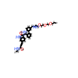 CCCOCCOCCOCCNCc1ccc(N/C(=C2\C(=O)Nc3cc(C#CC(=O)NCC)ccc32)c2ccccc2)cc1